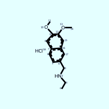 CCNCc1ccc2cc(OC)c(OC)cc2c1.Cl